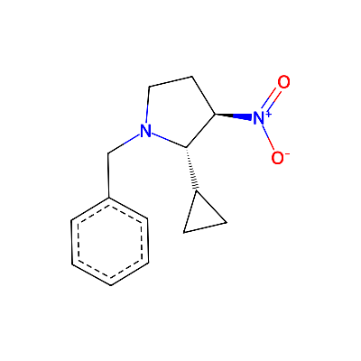 O=[N+]([O-])[C@@H]1CCN(Cc2ccccc2)[C@H]1C1CC1